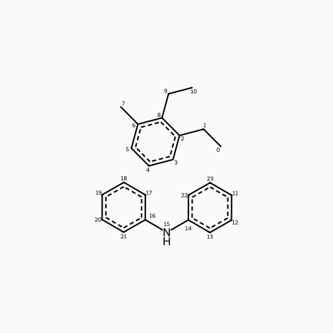 CCc1cccc(C)c1CC.c1ccc(Nc2ccccc2)cc1